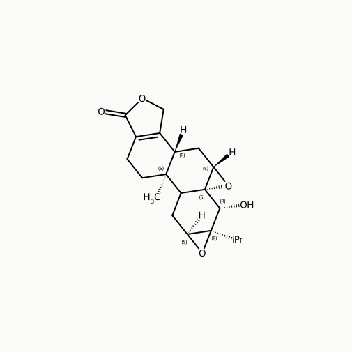 CC(C)[C@]12O[C@H]1CC1[C@]3(O[C@H]3C[C@H]3C4=C(CC[C@]13C)C(=O)OC4)[C@@H]2O